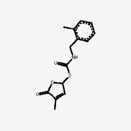 CC1=CC(OC(=O)NCc2ccccc2C)OC1=O